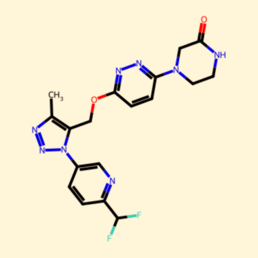 Cc1nnn(-c2ccc(C(F)F)nc2)c1COc1ccc(N2CCNC(=O)C2)nn1